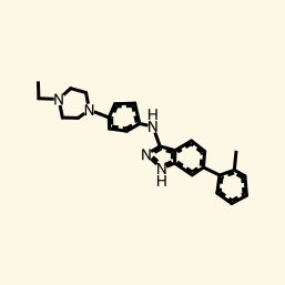 CCN1CCN(c2ccc(Nc3n[nH]c4cc(-c5ccccc5C)ccc34)cc2)CC1